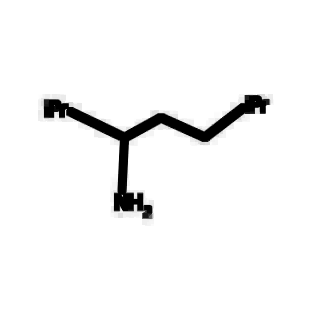 CC(C)CCC(N)C(C)C